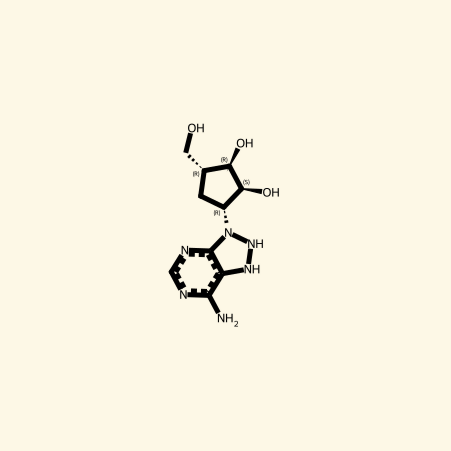 Nc1ncnc2c1NNN2[C@@H]1C[C@H](CO)[C@@H](O)[C@H]1O